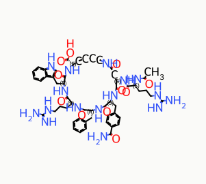 CC(=O)N[C@@H](CCCNC(=N)N)C(=O)N[C@H]1CC(=O)NCCCC[C@@H](C(=O)O)NC(=O)[C@H](Cc2c[nH]c3ccccc23)NC(=O)[C@H](CCCNC(=N)N)NC(=O)[C@@H](Cc2ccccc2)NC(=O)[C@H](Cc2ccc(C(N)=O)cc2)NC1=O